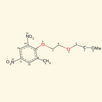 COCCOCCOc1c(C)cc([N+](=O)[O-])cc1[N+](=O)[O-]